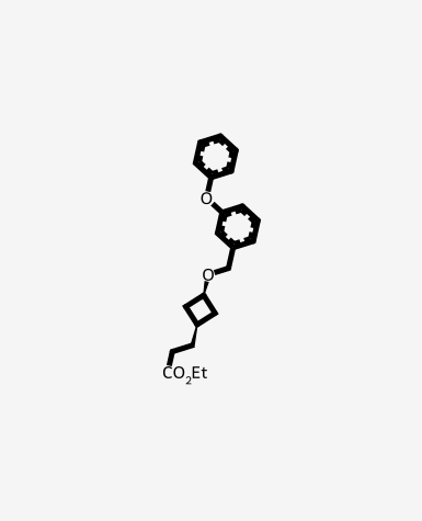 CCOC(=O)CC[C@H]1C[C@@H](OCc2cccc(Oc3ccccc3)c2)C1